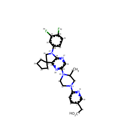 CC1CN(c2ccc(CC(=O)O)cn2)CCN1c1cnc2c(n1)C1(CCCC1)CN2c1ccc(F)c(F)c1